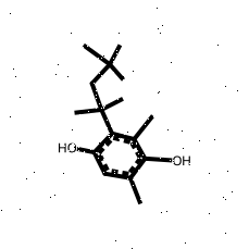 Cc1cc(O)c(C(C)(C)CC(C)(C)C)c(C)c1O